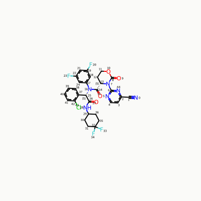 N#Cc1ccnc(N2C(=O)OCC[C@H]2C(=O)N(c2cc(F)cc(F)c2)[C@H](C(=O)NC2CCC(F)(F)CC2)c2ccccc2Cl)n1